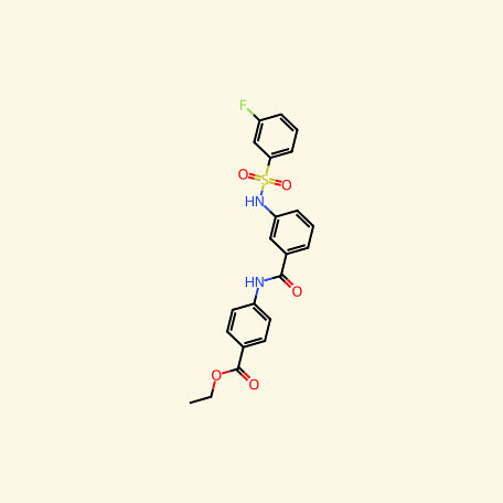 CCOC(=O)c1ccc(NC(=O)c2cccc(NS(=O)(=O)c3cccc(F)c3)c2)cc1